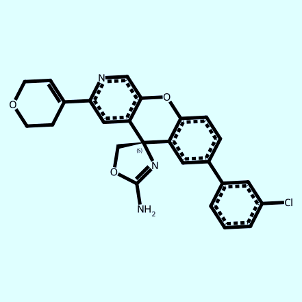 NC1=N[C@@]2(CO1)c1cc(-c3cccc(Cl)c3)ccc1Oc1cnc(C3=CCOCC3)cc12